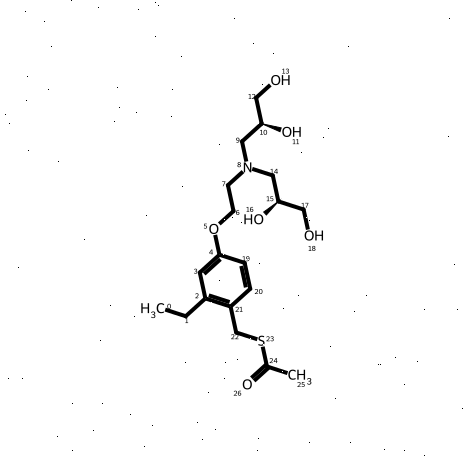 CCc1cc(OCCN(C[C@H](O)CO)C[C@H](O)CO)ccc1CSC(C)=O